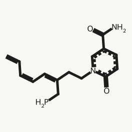 C=C/C=C\C=C(/CP)CCn1cc(C(N)=O)ccc1=O